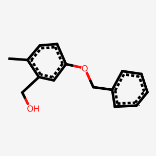 Cc1ccc(OCc2c[c]ccc2)cc1CO